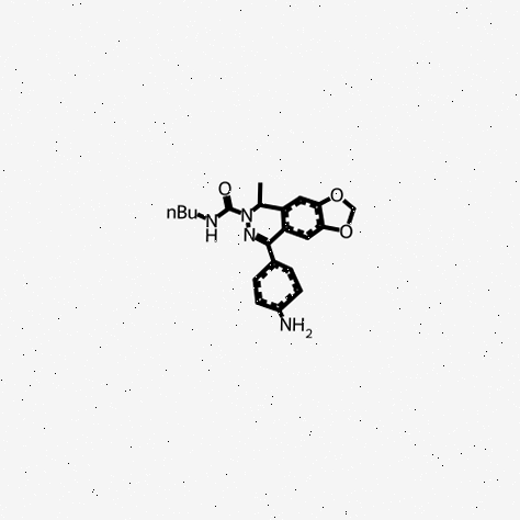 CCCCNC(=O)N1N=C(c2ccc(N)cc2)c2cc3c(cc2C1C)OCO3